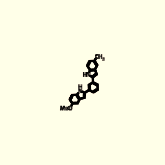 COc1ccc2[nH]c(-c3cccc(-c4cc5cc(C)ccc5[nH]4)c3)cc2c1